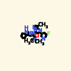 Cc1cnn2c(N[C@@H](Cc3c[nH]c4ccccc34)C(=O)N(C)C)cc(-c3cncc(F)c3)nc12